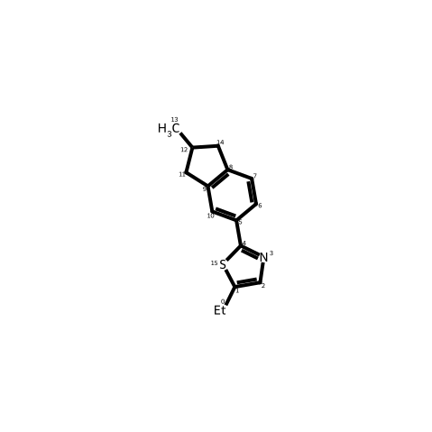 CCc1cnc(-c2ccc3c(c2)CC(C)C3)s1